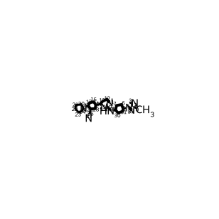 Cc1ncn(-c2ccc(Nc3nccc(-c4ccc(N5CCCCC5)c(C#N)c4)n3)cc2)n1